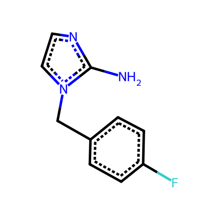 Nc1nccn1Cc1ccc(F)cc1